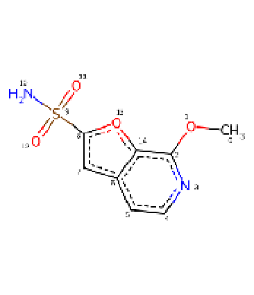 COc1nccc2cc(S(N)(=O)=O)oc12